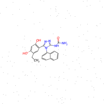 CCc1cc(-c2nnc(NC(N)=O)n2-c2cccc3ccccc23)c(O)cc1O